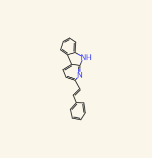 C(=Cc1ccc2c(n1)[nH]c1ccccc12)c1ccccc1